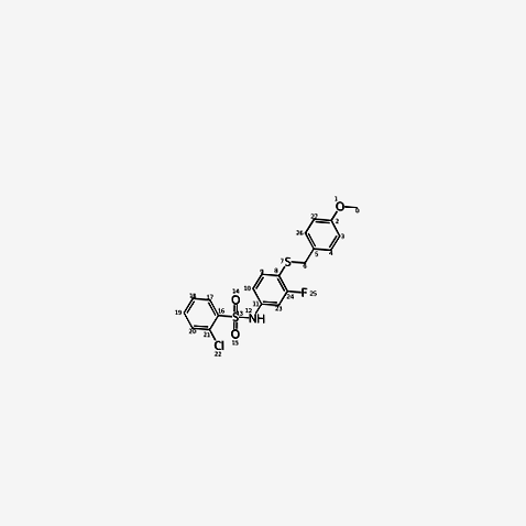 COc1ccc(CSc2ccc(NS(=O)(=O)c3ccccc3Cl)cc2F)cc1